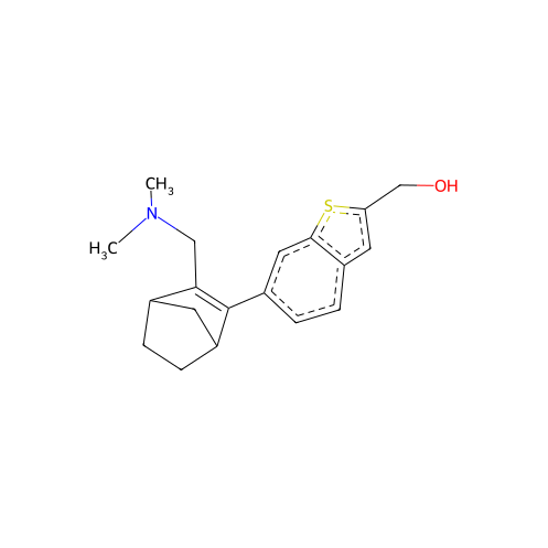 CN(C)CC1=C(c2ccc3cc(CO)sc3c2)C2CCC1C2